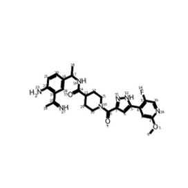 COc1cc(-c2cc(C(=O)N3CCC(C(=O)NC(C)c4ccc(N)c(C(C)=N)c4)CC3)n[nH]2)c(F)cn1